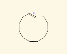 C1=C/CCCCCCCCCC/1